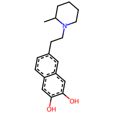 CC1CCCCN1CCc1ccc2cc(O)c(O)cc2c1